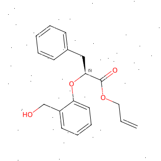 C=CCOC(=O)[C@H](Cc1ccccc1)Oc1ccccc1CO